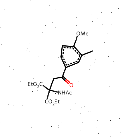 CCOC(=O)C(CC(=O)c1ccc(OC)c(C)c1)(NC(C)=O)C(=O)OCC